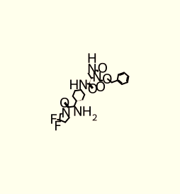 N[C@H](C(=O)N1CCC(F)(F)C1)[C@H]1CC[C@H](NC(=O)[C@@H]2CNC(=O)N2C(=O)OCc2ccccc2)CC1